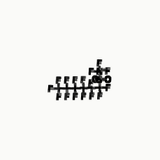 O=S(=O)(C(F)(F)C(F)(F)C(F)(F)C(F)(F)C(F)(F)C(F)(F)F)[N+](F)(F)F